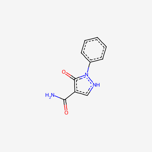 NC(=O)c1c[nH]n(-c2ccccc2)c1=O